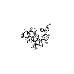 CCOC(=O)/C(C)=C/[C@@H](NC(=O)[C@@H](NC(=O)[C@H]1CCCCN1C(C)CC)C(C)(C)C)C(C)C